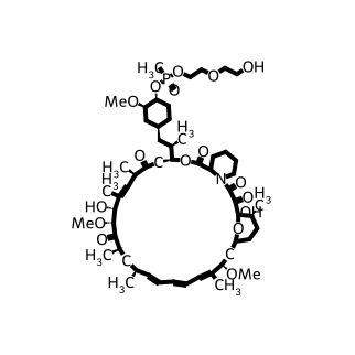 CO[C@H]1CC2CC[C@@H](C)[C@@](O)(O2)C(=O)C(=O)N2CCCCC2C(=O)O[C@H]([C@H](C)C[C@@H]2CC[C@@H](OP(C)(=O)OCCOCCO)[C@H](OC)C2)CC(=O)[C@H](C)/C=C(\C)[C@@H](O)[C@@H](OC)C(=O)[C@H](C)C[C@H](C)/C=C/C=C/C=C/1C